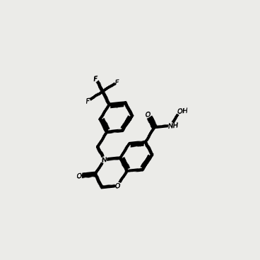 O=C(NO)c1ccc2c(c1)N(Cc1cccc(C(F)(F)F)c1)C(=O)CO2